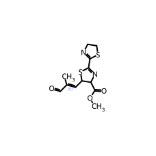 COC(=O)C1N=C(C2=NCCS2)SC1/C=C(\C)C=O